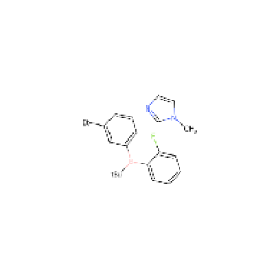 CCc1cccc(B(c2ccccc2F)C(C)(C)C)c1.Cn1ccnc1